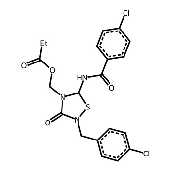 CCC(=O)OCN1C(=O)N(Cc2ccc(Cl)cc2)SC1NC(=O)c1ccc(Cl)cc1